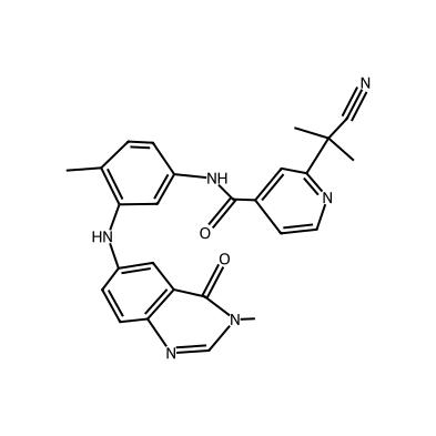 Cc1ccc(NC(=O)c2ccnc(C(C)(C)C#N)c2)cc1Nc1ccc2ncn(C)c(=O)c2c1